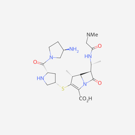 CNCC(=O)N[C@H](C)[C@H]1C(=O)N2C(C(=O)O)=C(S[C@@H]3CN[C@H](C(=O)N4CC[C@@H](N)C4)C3)[C@H](C)C12